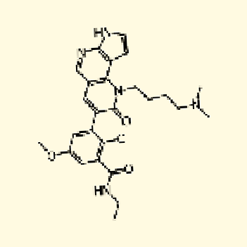 CCNC(=O)c1cc(OC)cc(-c2cc3cnc4[nH]ccc4c3n(CCCCN(C)C)c2=O)c1Cl